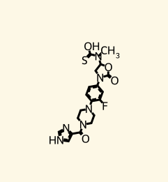 CN(C(O)=S)C1CN(c2ccc(N3CCN(C(=O)c4c[nH]cn4)CC3)c(F)c2)C(=O)O1